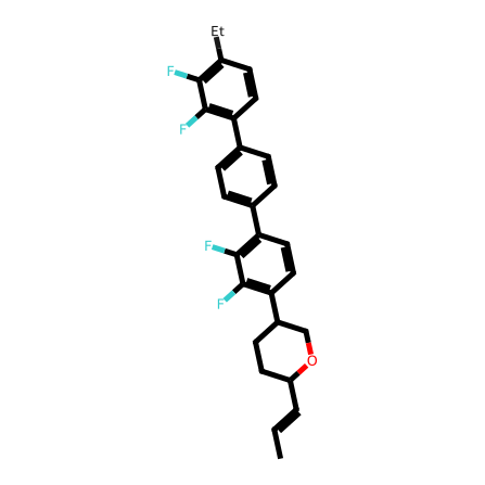 C/C=C/C1CCC(c2ccc(-c3ccc(-c4ccc(CC)c(F)c4F)cc3)c(F)c2F)CO1